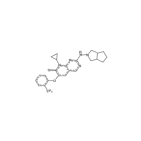 Cc1ccccc1Oc1cc2cnc(NN3CC4CCCC4C3)nc2n(C2CC2)c1=O